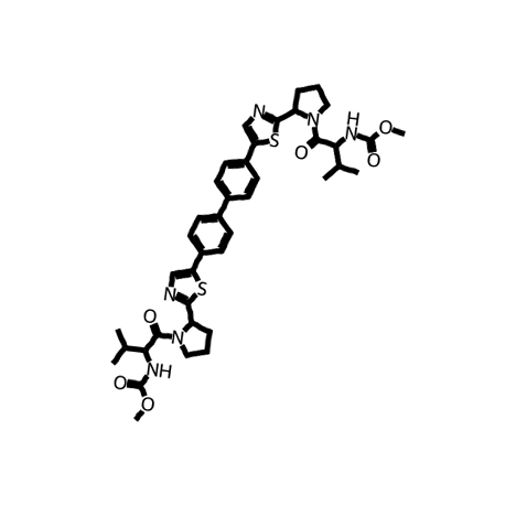 COC(=O)NC(C(=O)N1CCCC1c1ncc(-c2ccc(-c3ccc(-c4cnc(C5CCCN5C(=O)C(NC(=O)OC)C(C)C)s4)cc3)cc2)s1)C(C)C